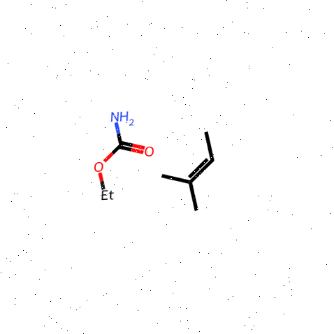 CC=C(C)C.CCOC(N)=O